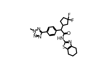 Cn1nnc(-c2ccc(C(C(=O)Nc3nc4c(s3)CCCC4)C3CCC(F)(F)C3)cc2)n1